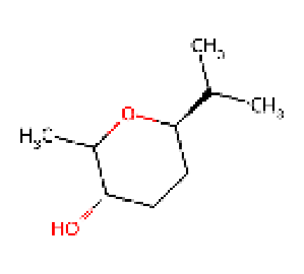 CC1O[C@@H](C(C)C)CC[C@@H]1O